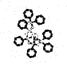 C[Si](O[Si](C)(O[Si](C)(c1ccccc1)c1ccccc1)c1ccccc1)(O[Si](C)(O[Si](C)(c1ccccc1)c1ccccc1)c1ccccc1)c1ccccc1